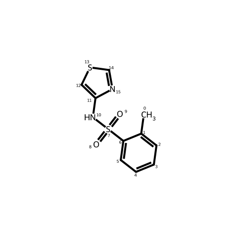 Cc1ccccc1S(=O)(=O)Nc1cscn1